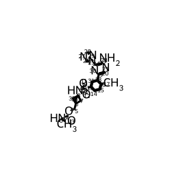 CNC(=O)OCC12CC(NS(=O)(=O)c3ccc(C)c(-c4cnc(N)c(-n5cncn5)n4)c3)(C1)C2